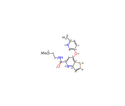 COCCNC(=O)c1cc(Oc2ccc(C)nc2)c2sccc2n1